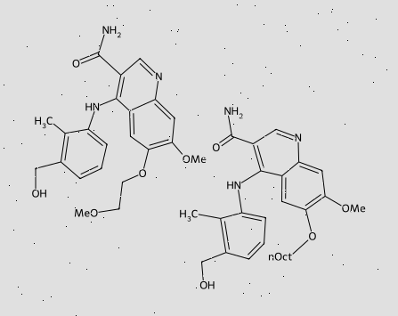 CCCCCCCCOc1cc2c(Nc3cccc(CO)c3C)c(C(N)=O)cnc2cc1OC.COCCOc1cc2c(Nc3cccc(CO)c3C)c(C(N)=O)cnc2cc1OC